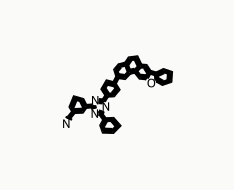 N#Cc1cccc(-c2nc(-c3ccccc3)nc(-c3ccc(-c4ccc5ccc6cc7c(cc6c5c4)oc4ccccc47)cc3)n2)c1